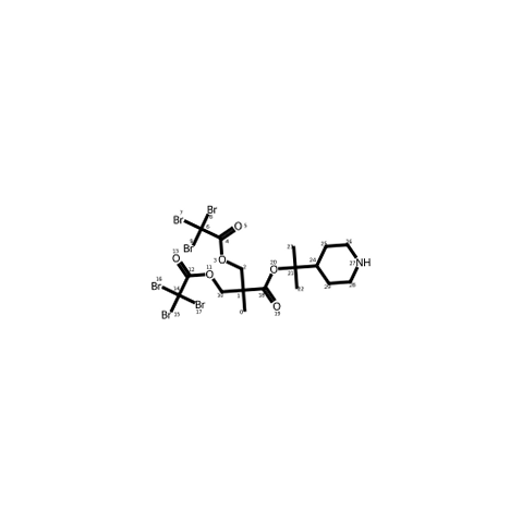 CC(COC(=O)C(Br)(Br)Br)(COC(=O)C(Br)(Br)Br)C(=O)OC(C)(C)C1CCNCC1